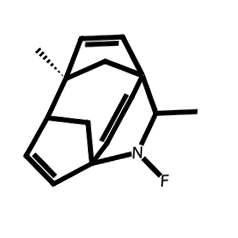 CC1N(F)C23C=CC(C2)[C@@]2(C)C=CC1(C=C3)C2